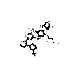 C=CC(=O)Nc1cc(Nc2cc(N3OCCC3c3cccc(C(F)(F)F)c3)ncn2)c(OC)cc1N1C[C@H]2C[C@@H]1CO2